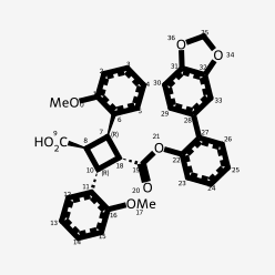 COc1ccccc1[C@@H]1[C@H](C(=O)O)[C@@H](c2ccccc2OC)[C@H]1C(=O)Oc1ccccc1-c1ccc2c(c1)OCO2